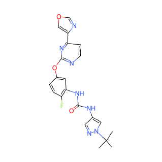 CC(C)(C)n1cc(NC(=O)Nc2cc(Oc3nccc(-c4cocn4)n3)ccc2F)cn1